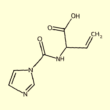 C=CC(NC(=O)n1ccnc1)C(=O)O